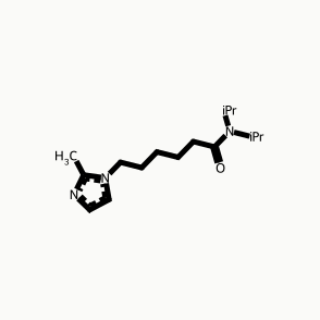 Cc1n[c]cn1CCCCCC(=O)N(C(C)C)C(C)C